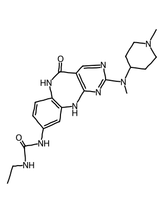 CCNC(=O)Nc1ccc2c(c1)Nc1nc(N(C)C3CCN(C)CC3)ncc1C(=O)N2